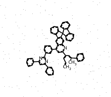 C=C/C=C(\C=C(/C)c1ccccc1)c1cc(-c2cccc(-c3nc(-c4ccccc4)cc(-c4ccccc4)n3)c2)c2cc3c(cc2n1)C1(c2ccccc2-c2ccccc21)c1ccccc1-3